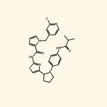 CC(C)C(=O)Nc1ccc(N2CCCC2c2csc(NC(=O)c3cccn3Cc3ccnc(F)c3)n2)cc1